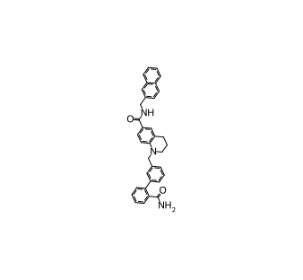 NC(=O)c1ccccc1-c1cccc(CN2CCCc3cc(C(=O)NCc4ccc5ccccc5c4)ccc32)c1